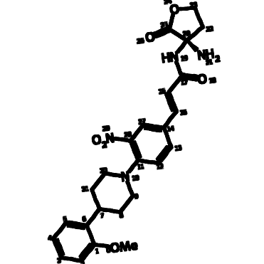 COc1ccccc1C1CCN(c2ccc(/C=C/C(=O)N[C@@]3(N)CCOC3=O)cc2[N+](=O)[O-])CC1